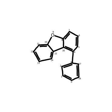 c1ccc(-c2cccc3oc4ccccc4c23)cc1